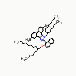 Bc1ccc2c3ccc(B)cc3c3c(nc(-c4c(OCC(CCCCCC)CCCCCCCC)ccc5ccccc45)n3CC(CCCCCC)CCCCCCCC)c2c1